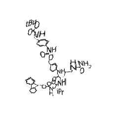 CC(C)[C@H](NC(=O)OCC1c2ccccc2-c2ccccc21)C(=O)N[C@@H](CCCNC(N)=O)C(=O)Nc1ccc(COC(=O)Nc2ccc(CNC(=O)OC(C)(C)C)cc2)cc1